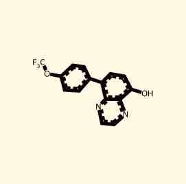 Oc1ccc(-c2ccc(OC(F)(F)F)cc2)c2nccnc12